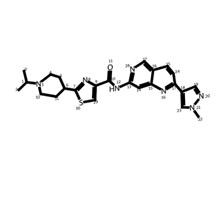 CC(C)N1CCC(c2nc(C(=O)Nc3cc4nc(-c5cnn(C)c5)ccc4cn3)cs2)CC1